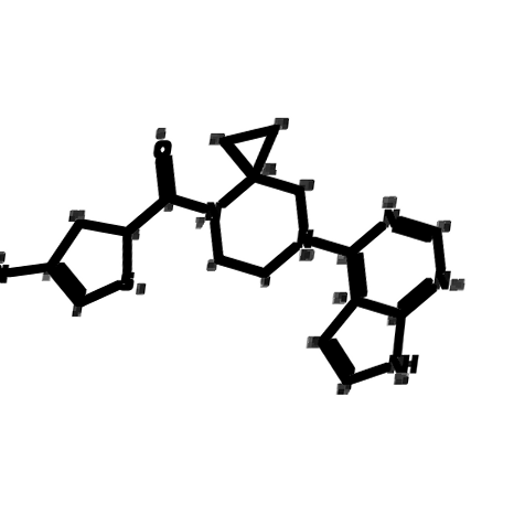 NC1=CSC(C(=O)N2CCN(c3ncnc4[nH]ccc34)CC23CC3)C1